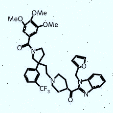 COc1cc(C(=O)N2CCC(CCN3CCC(C(=O)c4nc5ccccc5n4Cc4ccco4)CC3)(c3cccc(C(F)(F)F)c3)C2)cc(OC)c1OC